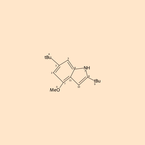 COc1cc(C(C)(C)C)cc2[nH]c(C(C)(C)C)cc12